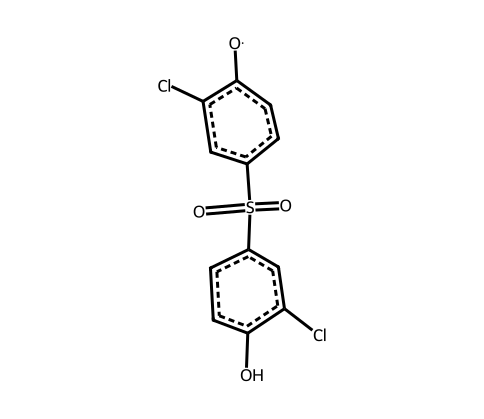 [O]c1ccc(S(=O)(=O)c2ccc(O)c(Cl)c2)cc1Cl